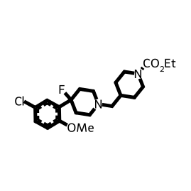 CCOC(=O)N1CCC(CN2CCC(F)(c3cc(Cl)ccc3OC)CC2)CC1